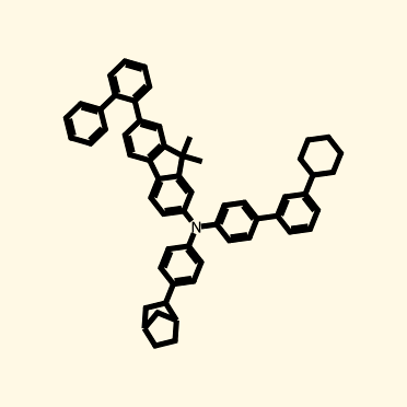 CC1(C)c2cc(-c3ccccc3-c3ccccc3)ccc2-c2ccc(N(c3ccc(-c4cccc(C5CCCCC5)c4)cc3)c3ccc(C4CC5CCC4C5)cc3)cc21